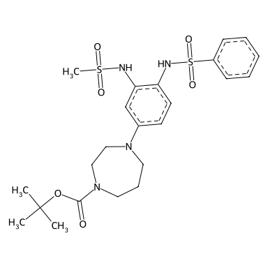 CC(C)(C)OC(=O)N1CCCN(c2ccc(NS(=O)(=O)c3ccccc3)c(NS(C)(=O)=O)c2)CC1